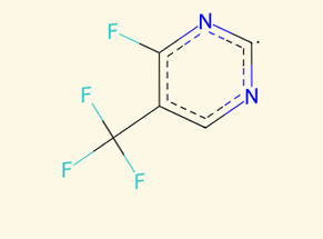 Fc1n[c]ncc1C(F)(F)F